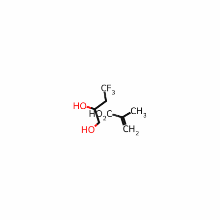 C=C(C)C(=O)O.OCC(O)CC(F)(F)F